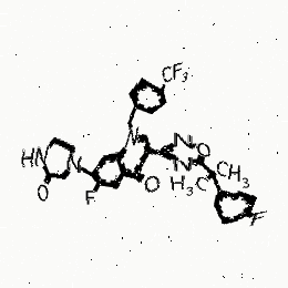 CC(C)(c1ccc(F)cc1)c1nc(-c2cn(Cc3ccc(C(F)(F)F)cc3)c3cc(N4CCNC(=O)C4)c(F)cc3c2=O)no1